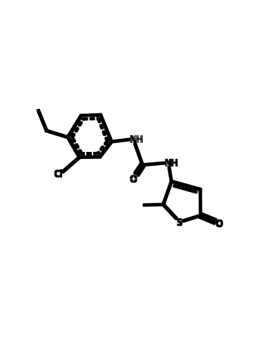 CCc1ccc(NC(=O)NC2=CC(=O)SC2C)cc1Cl